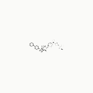 C#CC(=O)NC1CC(C(=O)N2CCC(O)(Cn3cnc4c(cnn4-c4ccc(-c5ccccc5)cc4)c3=O)CC2)C1